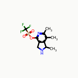 Cc1nc(OS(=O)(=O)C(F)(F)F)c2c(c1C)C(C)NC2